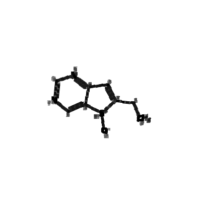 CCc1cc2ncncc2[s+]1[O-]